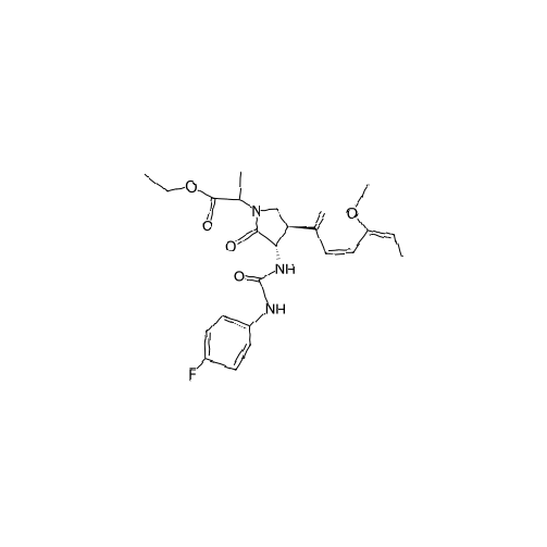 C=C(/C=C\C(=C/C)OC)[C@@H]1CN(C(C)C(=O)OCC)C(=O)[C@H]1NC(=O)Nc1ccc(F)cc1